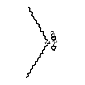 C1=CC[C]([Ti+2][C]2=CC=CC2)=C1.CCCCCCCCCCCCCCCCCC[N+](C)(C)CCCCCCCCCCCCCCCCCC.[Cl-].[Cl-]